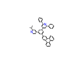 CC(C)c1cc(C2=CC(c3ccc4c5ccccc5c5ccccc5c4c3)=CC(c3cc(-c4ccccc4)nc(-c4ccccc4)c3)C2)ccn1